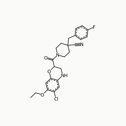 CCOc1cc2c(cc1Cl)NCC(C(=O)N1CCC(C#N)(Cc3ccc(F)cc3)CC1)O2